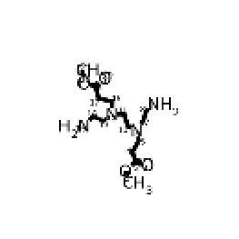 COC(=O)CCN(CCN)CCN(CCN)CCC(=O)OC